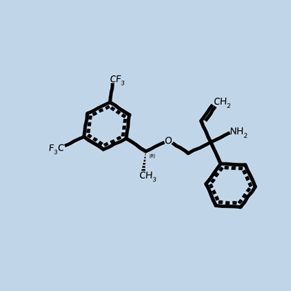 C=CC(N)(CO[C@H](C)c1cc(C(F)(F)F)cc(C(F)(F)F)c1)c1ccccc1